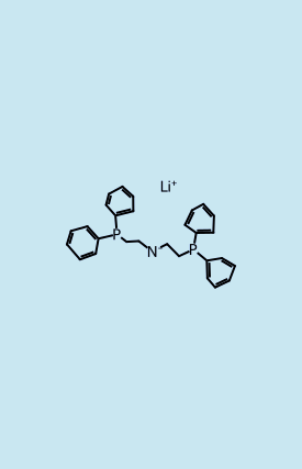 [Li+].c1ccc(P(CC[N-]CCP(c2ccccc2)c2ccccc2)c2ccccc2)cc1